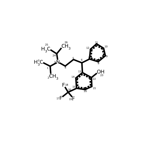 CC(C)N(CCC(c1ccccc1)c1cc(C(F)(F)F)ccc1O)C(C)C